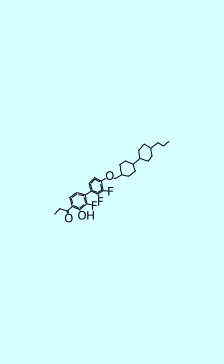 CCCC1CCC(C2CCC(COc3ccc(-c4ccc(C(=O)CC)c(O)c4F)c(F)c3F)CC2)CC1